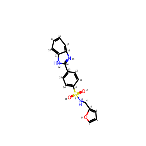 O=S(=O)(NCc1ccco1)c1ccc(-c2nc3ccccc3[nH]2)cc1